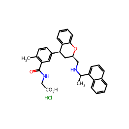 Cc1ccc([C@@H]2C[C@H](CN[C@H](C)c3cccc4ccccc34)Oc3ccccc32)cc1C(=O)NCC(=O)O.Cl